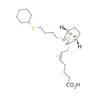 O=C(O)CCC/C=C\C[C@@H]1[C@H](CCCCSC2CCCCC2)[C@@H]2CC[C@H]1S2